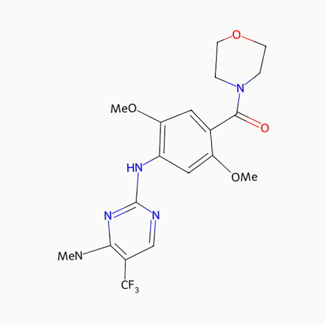 CNc1nc(Nc2cc(OC)c(C(=O)N3CCOCC3)cc2OC)ncc1C(F)(F)F